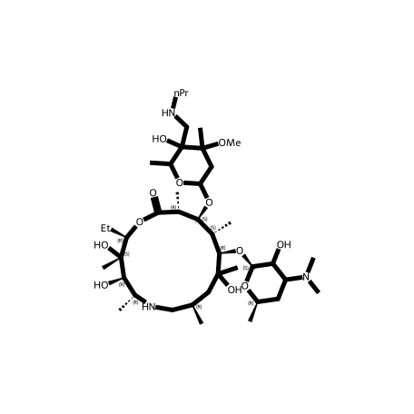 CCCNCC1(O)C(C)OC(O[C@H]2[C@H](C)[C@@H](O[C@@H]3O[C@H](C)CC(N(C)C)C3O)C(C)(O)C[C@@H](C)CN[C@H](C)[C@@H](O)[C@](C)(O)[C@@H](CC)OC(=O)[C@@H]2C)CC1(C)OC